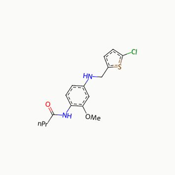 CCCC(=O)Nc1ccc(NCc2ccc(Cl)s2)cc1OC